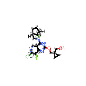 OCC1(COc2nc(N3C[C@H]4CC[C@@H](C3)C4(F)F)c3cnc(Cl)c(F)c3n2)CC1